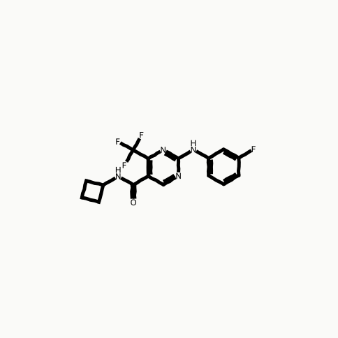 O=C(NC1CCC1)c1cnc(Nc2cccc(F)c2)nc1C(F)(F)F